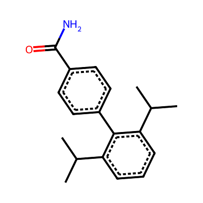 CC(C)c1cccc(C(C)C)c1-c1ccc(C(N)=O)cc1